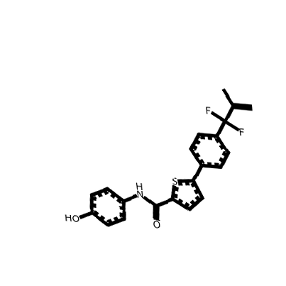 C=C(C)C(F)(F)c1ccc(-c2ccc(C(=O)Nc3ccc(O)cc3)s2)cc1